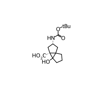 CC(C)(C)OC(=O)N[C@@H]1CC23CCCC2(O)[C@@]3(C(=O)O)C1